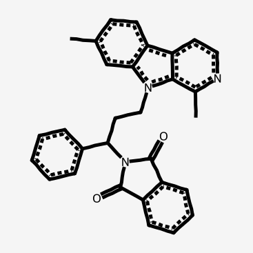 Cc1ccc2c3ccnc(C)c3n(CCC(c3ccccc3)N3C(=O)c4ccccc4C3=O)c2c1